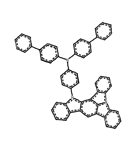 c1ccc(-c2ccc(N(c3ccc(-c4ccccc4)cc3)c3ccc(-n4c5ccccc5c5cc6c7ccccc7n7c8ccccc8c(c54)c67)cc3)cc2)cc1